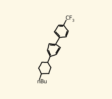 CCCCC1CCC(c2ccc(-c3ccc(C(F)(F)F)cc3)cc2)CC1